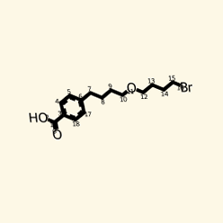 O=C(O)c1ccc(CCCCOCCCCBr)cc1